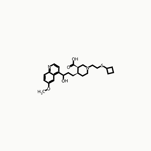 COc1ccc2nccc(C(O)CC[C@@H]3CCN(CCSC4CCC4)C[C@@H]3C(=O)O)c2c1